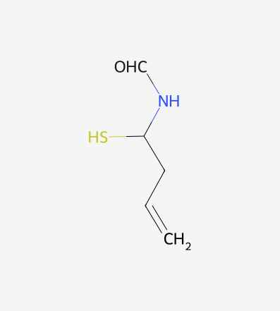 C=CCC(S)NC=O